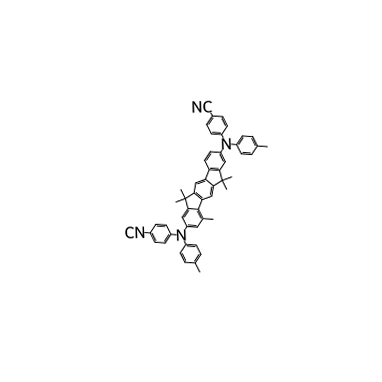 [C-]#[N+]c1ccc(N(c2ccc(C)cc2)c2cc(C)c3c(c2)C(C)(C)c2cc4c(cc2-3)C(C)(C)c2cc(N(c3ccc(C)cc3)c3ccc(C#N)cc3)ccc2-4)cc1